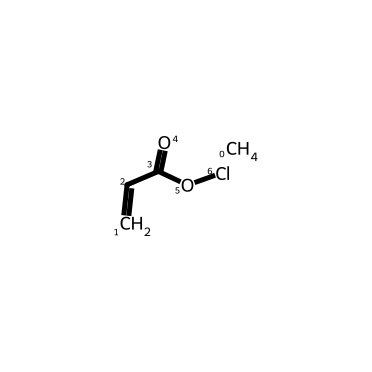 C.C=CC(=O)OCl